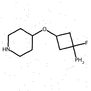 FC1(P)CC(OC2CCNCC2)C1